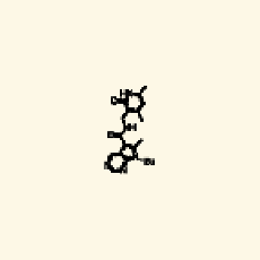 CC[C@@H](C)n1c(C)c(C(=O)NCc2c(C)cc(C)[nH]c2=O)c2cncnc21